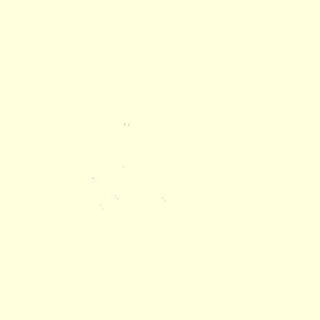 COC1CC(c2cc(Cl)nc(C3CC3)c2)(c2nncn2C)C1